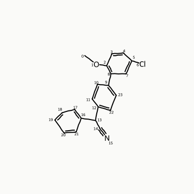 COc1ccc(Cl)cc1-c1ccc(C(C#N)c2ccccc2)cc1